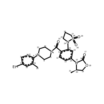 CCc1cnc(N2CCN(C(=O)c3ccc(N4C(=O)OC[C@H]4C)cc3N3CCCS3(=O)=O)CC2)c(C)c1